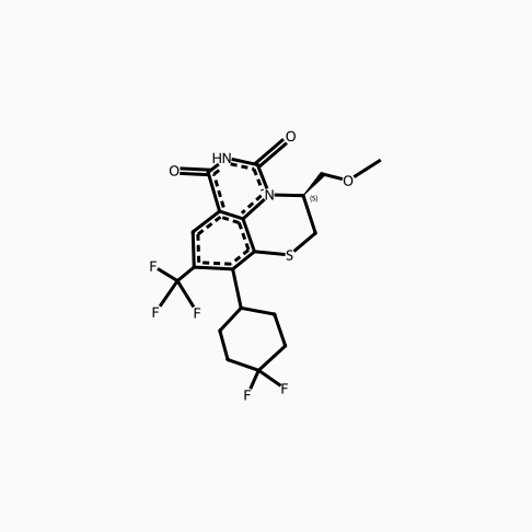 COC[C@H]1CSc2c(C3CCC(F)(F)CC3)c(C(F)(F)F)cc3c(=O)[nH]c(=O)n1c23